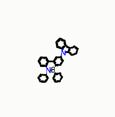 c1ccc(B2c3ccc(-n4c5ccccc5c5ccccc54)cc3-c3ccccc3N2c2ccccc2)cc1